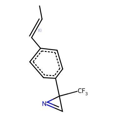 C/C=C/c1ccc(C2(C(F)(F)F)C=N2)cc1